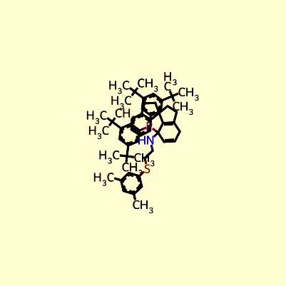 Cc1cc(C)cc(SCCNC2(P(c3cc(C(C)(C)C)cc(C(C)(C)C)c3)c3cc(C(C)(C)C)cc(C(C)(C)C)c3)C=CCC3=C2C2(CC3)CCc3ccccc32)c1